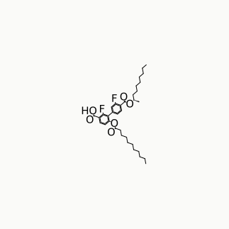 CCCCCCCCCCC(=O)Oc1ccc(C(=O)O)c(F)c1-c1ccc(C(=O)O[C@H](C)CCCCCCCC)c(F)c1